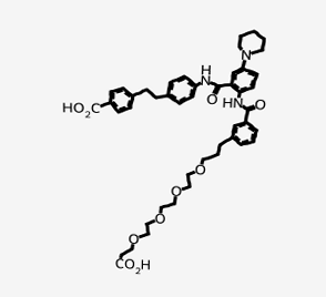 O=C(O)CCOCCOCCOCCOCCCc1cccc(C(=O)Nc2ccc(N3CCCCC3)cc2C(=O)Nc2ccc(CCc3ccc(C(=O)O)cc3)cc2)c1